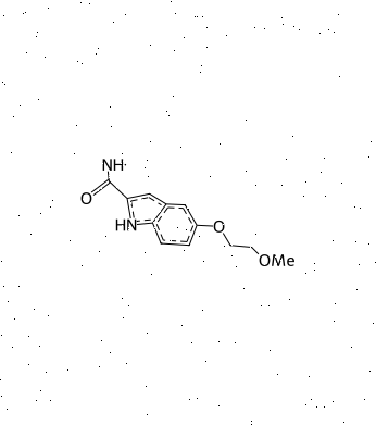 COCCOc1ccc2[nH]c(C([NH])=O)cc2c1